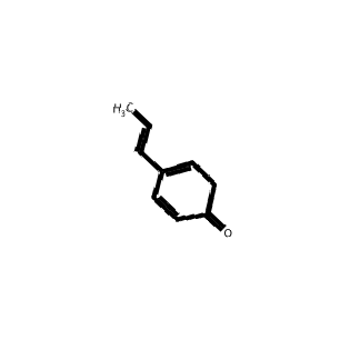 C/C=C/C1=CCC(=O)C=C1